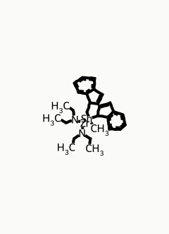 CC[N](CC)[Zr]([N](CC)CC)[Sn]([CH3])([CH2]C1C=Cc2ccccc21)[CH]1C=Cc2ccccc21